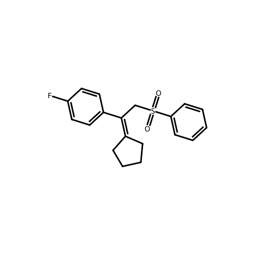 O=S(=O)(CC(=C1CCCC1)c1ccc(F)cc1)c1ccccc1